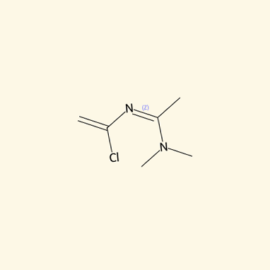 C=C(Cl)/N=C(/C)N(C)C